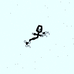 C=C(C)[C@@H]1C(C(C#N)(C#N)CC#CCOC(C)=O)=CC2CCC1N2